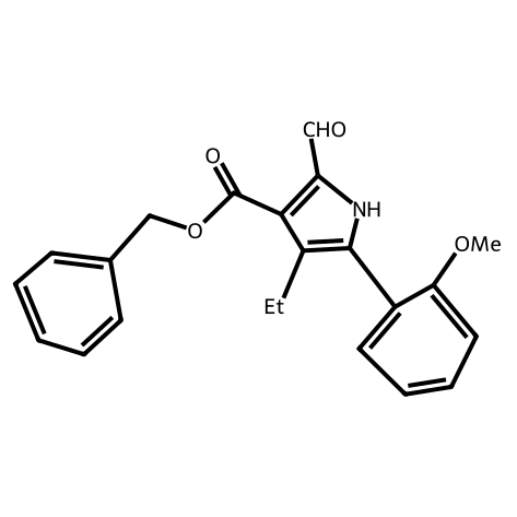 CCc1c(-c2ccccc2OC)[nH]c(C=O)c1C(=O)OCc1ccccc1